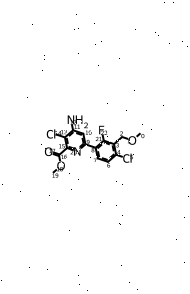 COCc1c(Cl)ccc(-c2cc(N)c(Cl)c(C(=O)OC)n2)c1F